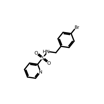 O=S(=O)(NCc1ccc(Br)cc1)c1ccccn1